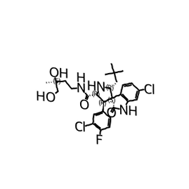 CC(C)(C)C[C@H]1N[C@@H](C(=O)NCC[C@](C)(O)CO)[C@H](c2ccc(F)c(Cl)c2)[C@@]12C(=O)Nc1cc(Cl)ccc12